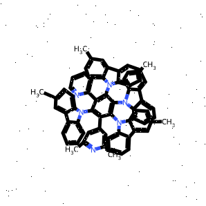 Cc1ccc2c(c1)c1ccccc1n2-c1c(-c2cc(C)nc(C)c2)c(-n2c3ccccc3c3cc(C)ccc32)c(-n2c3ccccc3c3cc(C)ccc32)c(-n2c3ccccc3c3cc(C)ccc32)c1-c1ccccn1